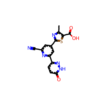 Cc1nc(-c2cc(C#N)nc(-c3ccc(=O)[nH]n3)c2)sc1C(=O)O